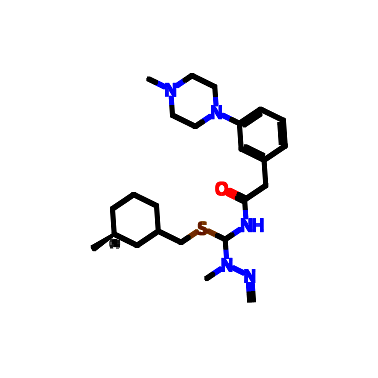 C=NN(C)C(NC(=O)Cc1cccc(N2CCN(C)CC2)c1)SCC1CCC[C@H](C)C1